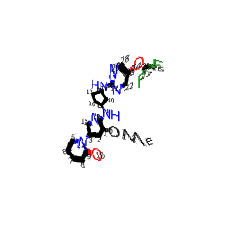 COc1cc(-n2ccccc2=O)cnc1N[C@H]1CC[C@H](Nc2ncc(OC(F)F)cn2)C1